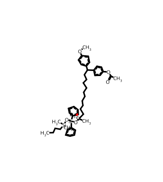 CCCC[Si](C)(C)O[Si](O[Si](C)(C)CCCCCCCCCCC(c1ccc(OC)cc1)c1ccc(OC(C)=O)cc1)(c1ccccc1)c1ccccc1